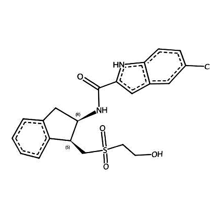 O=C(N[C@@H]1Cc2ccccc2[C@@H]1CS(=O)(=O)CCO)c1cc2cc(Cl)ccc2[nH]1